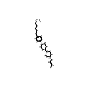 CCCCCCc1ccc([C@H]2CC[C@H]([C@H]3CC[C@H](C/C=C/F)CC3)CC2)cc1